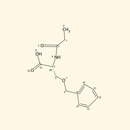 CCC(=O)N[C@H](COCc1ccccc1)C(=O)O